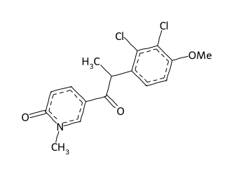 COc1ccc(C(C)C(=O)c2ccc(=O)n(C)c2)c(Cl)c1Cl